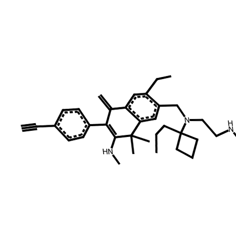 C#Cc1ccc(C2=C(NC)C(C)(C)c3cc(CN(CCNC)C4(CCC)CCC4)c(CC)cc3C2=C)cc1